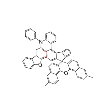 Cc1ccc2c3c(ccc2c1)C1(c2ccccc2-c2c(-c4ccccc4N(c4ccccc4)c4ccc5oc6ccccc6c5c4)cccc21)c1ccc2cc(C)ccc2c1O3